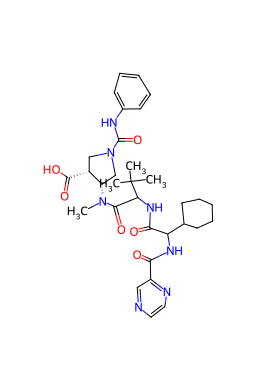 CN(C(=O)C(NC(=O)C(NC(=O)c1cnccn1)C1CCCCC1)C(C)(C)C)[C@H]1CN(C(=O)Nc2ccccc2)C[C@H]1C(=O)O